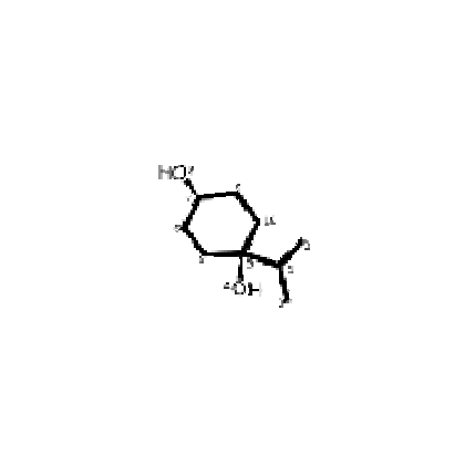 CC(C)[C@]1(O)CC[C@@H](O)CC1